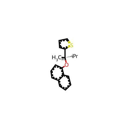 CC(C)[C@@](C)(Oc1cccc2ccccc12)c1cccs1